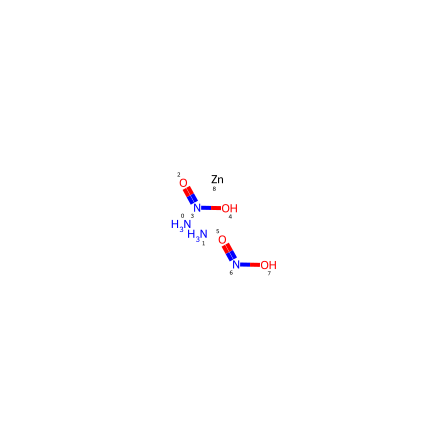 N.N.O=NO.O=NO.[Zn]